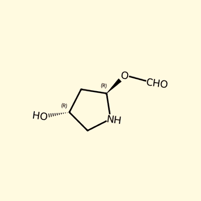 O=CO[C@@H]1C[C@@H](O)CN1